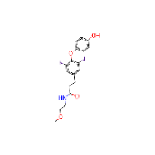 COCCNC(=O)CCc1cc(I)c(Oc2ccc(O)cc2)c(I)c1